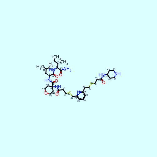 CC[C@H](C)[C@H](NC(=O)[C@H](CC(C)C)NC(=O)C1(NC(=O)CCSCc2cccc(CCSCCC(=O)NC3CCNCC3)n2)CCOCC1)C(N)=O